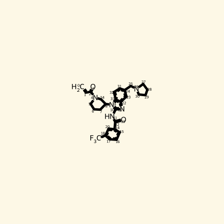 C=CC(=O)N1CCCC(n2c(NC(=O)c3cccc(C(F)(F)F)c3)nc3cc(CN4CCCC4)ccc32)C1